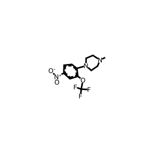 CN1CCN(c2ccc([N+](=O)[O-])cc2OC(F)(F)F)CC1